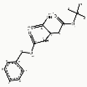 CC(C)(C)OC(=O)CC(NC(=O)OCc1ccccc1)C(=O)O